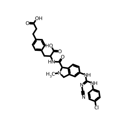 CN1Cc2cc(NC(=NC#N)Nc3ccc(Cl)cc3)ccc2C1C(=O)NC(Cc1ccc(CCC(=O)O)cc1)C(=O)O